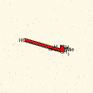 CCCCCNc1nc(N)nc(C)c1Cc1ccc(CN(C)CCOCCOCCOCCOCCOCCOCCOCCOCCOCCOCCOCCOCCOCCOCCOCCOCCOCCOCCOCCOCCOCCOCCOCCO)cc1OC